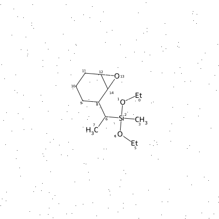 CCO[Si](C)(OCC)C(C)C1CCCC2OC21